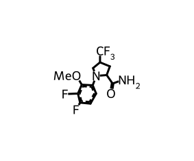 COc1c(N2CC(C(F)(F)F)CC2C(N)=O)ccc(F)c1F